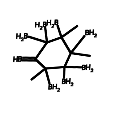 B=C1C(B)(B)C(B)(C)C(B)(C)C(B)(B)C1(B)C